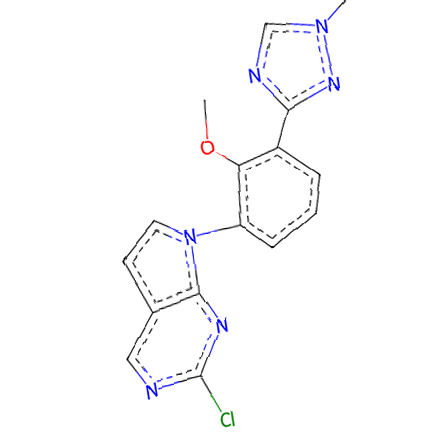 COc1c(-c2ncn(C)n2)cccc1-n1ccc2cnc(Cl)nc21